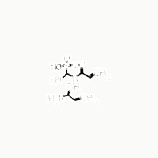 C=CC(=O)NC(CCC)S(=O)(=O)[O-].C=CC(N)=O.[Na+]